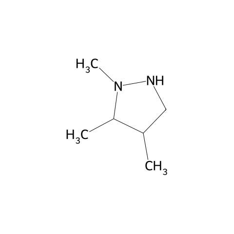 CC1CNN(C)C1C